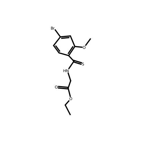 CCOC(=O)CNC(=S)c1ccc(Br)cc1OC